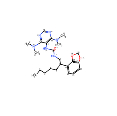 CCCCC[C@@H](CNC(=O)Nc1c(N(C)C)ncnc1N(C)C)c1cccc2c1OCO2